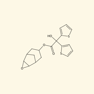 O=C(OC1CC2CC(C1)C1OC21)C(O)(c1cccs1)c1cccs1